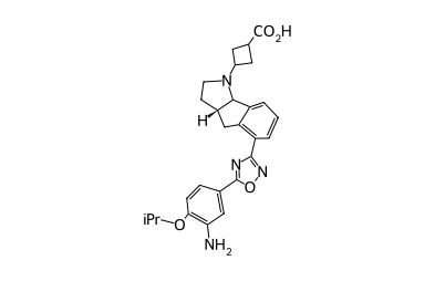 CC(C)Oc1ccc(-c2nc(-c3cccc4c3C[C@@H]3CCN(C5CC(C(=O)O)C5)C43)no2)cc1N